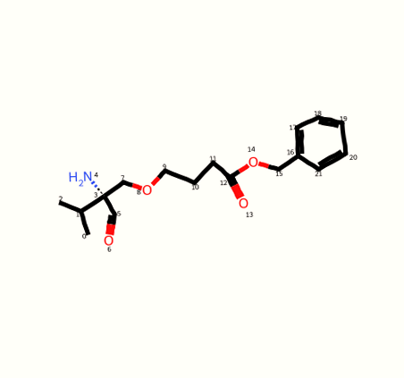 CC(C)[C@](N)(C=O)COCCCC(=O)OCc1ccccc1